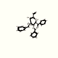 CC[C@H]1O[C@@H](C(=O)c2ccccc2)[C@H](OCc2ccccc2)[C@@H](OCc2ccccc2)[C@@H]1C